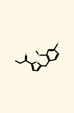 CCC(=O)c1ccc(Cc2ccc(F)cc2OC)o1